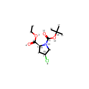 CCOC(=O)[C@@H]1C[C@H](Cl)CN1C(=O)OC(C)(C)C